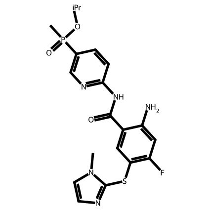 CC(C)OP(C)(=O)c1ccc(NC(=O)c2cc(Sc3nccn3C)c(F)cc2N)nc1